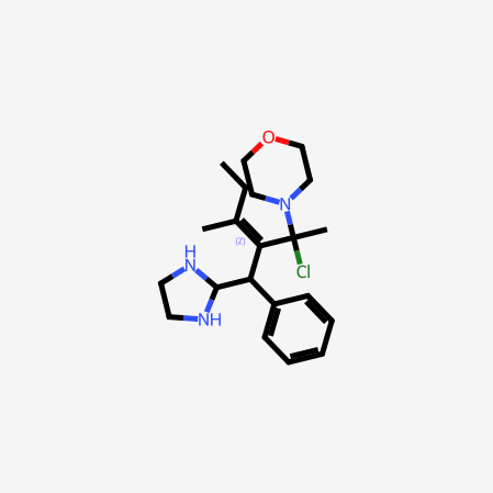 CC/C(C)=C(/C(c1ccccc1)C1NCCN1)C(C)(Cl)N1CCOCC1